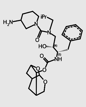 CC(C)CN(C[C@@H](O)[C@H](Cc1ccccc1)NC(=O)OC1C2COC3OC1CC3C2)C(=O)N1CCCC(N)C1